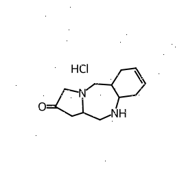 Cl.O=C1CC2CNC3CC=CCC3CN2C1